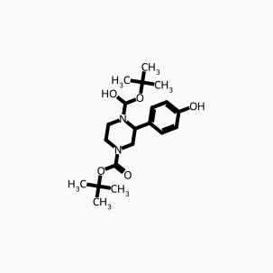 CC(C)(C)OC(=O)N1CCN(C(O)OC(C)(C)C)C(c2ccc(O)cc2)C1